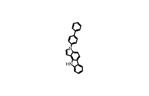 c1ccc(-c2ccc(-n3ccc4c5[nH]c6ccccc6c5ccc43)cc2)cc1